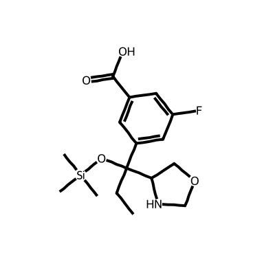 CCC(O[Si](C)(C)C)(c1cc(F)cc(C(=O)O)c1)C1COCN1